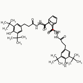 CC(C)(C)c1cc(CCC(=O)NNC(=O)C2C3C=CC(C(C(=O)O)C3C(=O)O)C2C(=O)NNC(=O)CCc2cc(C(C)(C)C)c(O)c(C(C)(C)C)c2)cc(C(C)(C)C)c1O